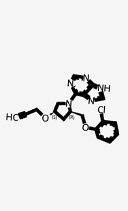 C#CCO[C@H]1C[C@H](COc2ccccc2Cl)N(c2ncnc3[nH]cnc23)C1